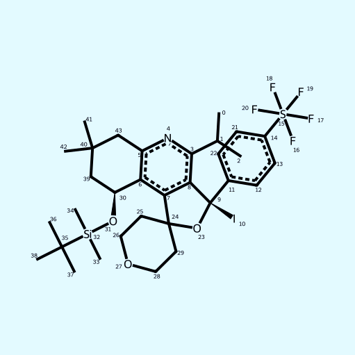 CC(C)c1nc2c(c3c1[C@](I)(c1ccc(S(F)(F)(F)(F)F)cc1)OC31CCOCC1)[C@@H](O[Si](C)(C)C(C)(C)C)CC(C)(C)C2